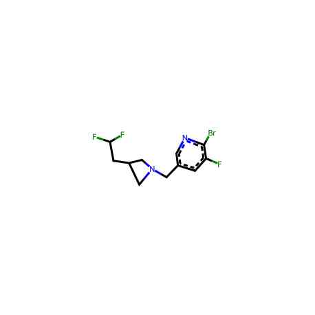 Fc1cc(CN2CC(CC(F)F)C2)cnc1Br